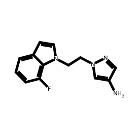 Nc1cnn(CCn2ccc3cccc(F)c32)c1